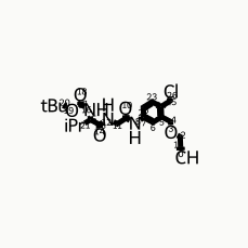 C#CCOCc1cc(NC(=O)CNC(=O)C(NC(=O)OC(C)(C)C)C(C)C)ccc1CCl